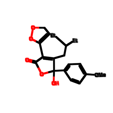 CCC(CC)CC1=C(C2=CCOO2)C(=O)OC1(O)c1ccc(OC)cc1